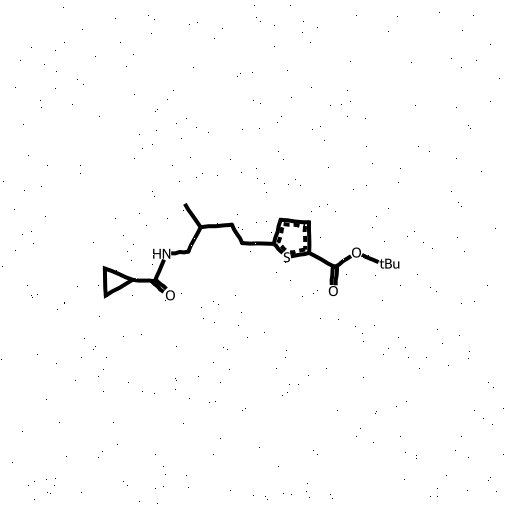 CC(CCc1ccc(C(=O)OC(C)(C)C)s1)CNC(=O)C1CC1